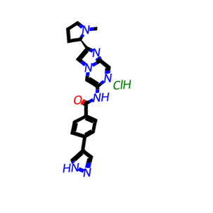 CN1CCC[C@@H]1c1cn2cc(NC(=O)c3ccc(-c4cn[nH]c4)cc3)ncc2n1.Cl